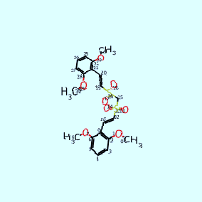 COc1cccc(OC)c1/C=C/S(=O)(=O)CS(=O)(=O)/C=C/c1c(OC)cccc1OC